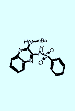 CCCCNc1nc2ccccc2nc1NS(=O)(=O)c1cc[c]cc1